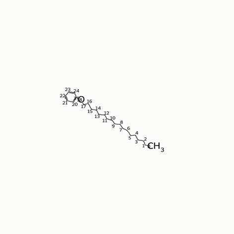 CCCCCCCCCCCCCCCCCCOc1cc[c]cc1